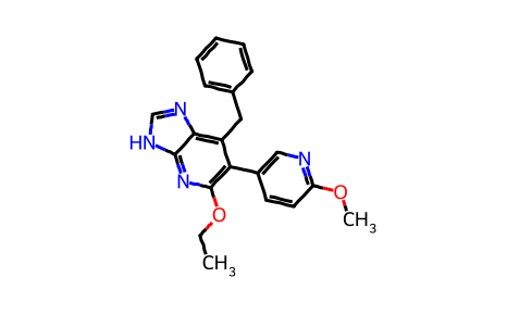 CCOc1nc2[nH]cnc2c(Cc2ccccc2)c1-c1ccc(OC)nc1